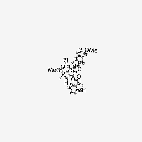 COC(=O)c1c(C)[nH]c2c(OC(=O)N(C)c3ccccc3S)cc3c(c12)[C@H](CCl)CN3C(=O)c1cc2cc(OC)ccc2o1